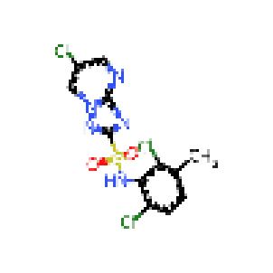 Cc1ccc(Cl)c(NS(=O)(=O)c2nc3ncc(Cl)cn3n2)c1Cl